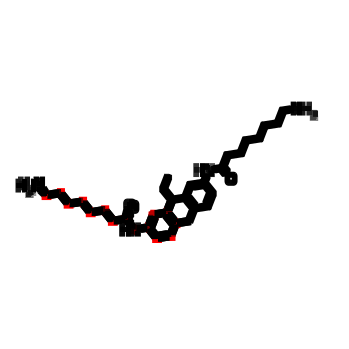 CCC12c3cc(NC(=O)CCCCCCCN)ccc3C(c3ccc(NC(=O)CCCCCCCN)cc31)c1ccc(NC(=O)CCCCCCCN)cc12